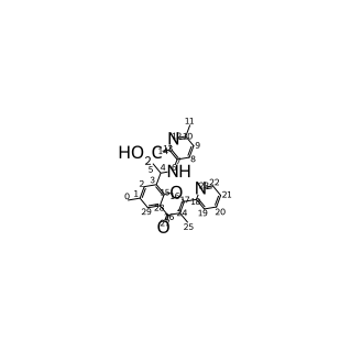 Cc1cc(C(C)Nc2ccc(C)nc2C(=O)O)c2oc(-c3ccccn3)c(C)c(=O)c2c1